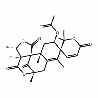 C=C1[C@]23C(=O)O[C@@H](C)[C@]2(O)C(=O)O[C@@]1(C)CC1=C(C)[C@@]2(C=CC(=O)OC2(C)C)[C@H](OC(C)=O)C[C@]13C